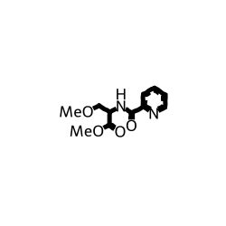 COCC(NC(=O)c1ccccn1)C(=O)OC